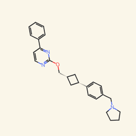 c1ccc(-c2ccnc(OC[C@H]3C[C@@H](c4ccc(CN5CCCC5)cc4)C3)n2)cc1